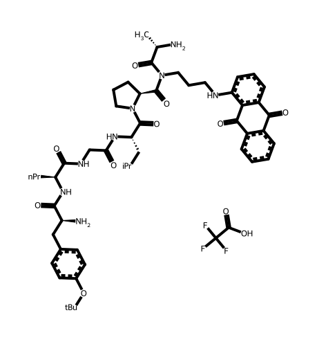 CCC[C@H](NC(=O)[C@@H](N)Cc1ccc(OC(C)(C)C)cc1)C(=O)NCC(=O)N[C@@H](CC(C)C)C(=O)N1CCC[C@H]1C(=O)N(CCCNc1cccc2c1C(=O)c1ccccc1C2=O)C(=O)[C@H](C)N.O=C(O)C(F)(F)F